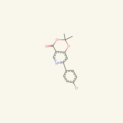 CC1(C)OC(=O)c2cnc(-c3ccc(Cl)cc3)cc2O1